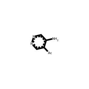 CC(=O)c1cnncc1N